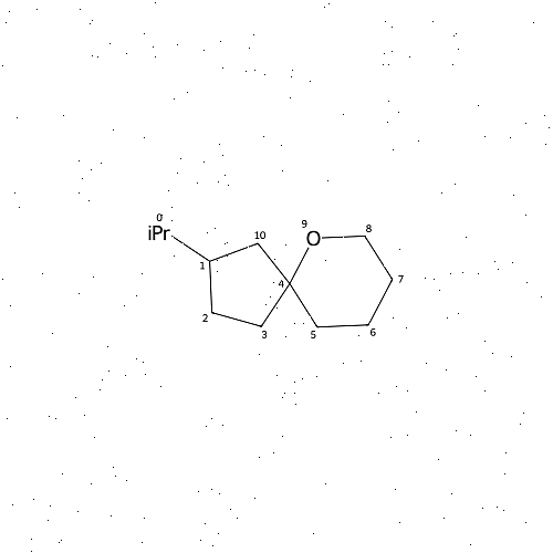 CC(C)C1CCC2(CCCCO2)C1